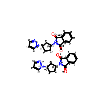 O=C1c2ccccc2C(=O)N1[C@@H]1CC[C@@H](n2cccn2)C1.O=C1c2ccccc2C(=O)N1[C@H]1CC[C@H](n2cccn2)C1